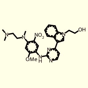 COc1cc(N(C)CCN(C)C)c([N+](=O)[O-])cc1Nc1nccc(-c2cn(CCO)c3ccccc23)n1